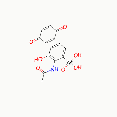 CC(=O)Nc1c(O)cccc1[As](=O)(O)O.O=C1C=CC(=O)C=C1